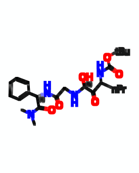 CCCC(NC(=O)OC(C)(C)C)C(=O)[C@H](O)NCC(=O)N[C@H](C(=O)N(C)C)c1ccccc1